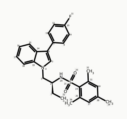 CC[C@@H](Cn1cc(-c2ccc(F)cc2)c2ccccc21)NS(=O)(=O)c1c(C)cc(C)cc1C